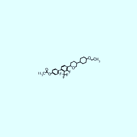 CCOC1CCC(C2CCC(c3ccc(-c4ccc(OC(C)=O)cc4)c(C(F)(F)F)c3F)OC2)CC1